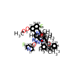 COCOc1cc(-c2cc3nc(OC[C@@]45CCCN4C[C@H](F)C5)nc4c3c(n2)OC[C@H](CCO[Si](c2ccccc2)(c2ccccc2)C(C)(C)C)N4C)c2c(C#C[Si](C(C)C)(C(C)C)C(C)C)c(F)ccc2c1